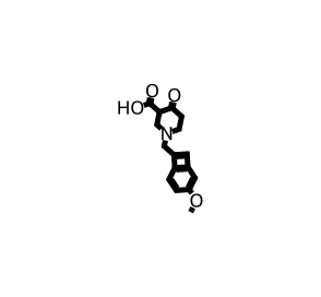 COc1ccc2c(c1)C=C2CN1CCC(=O)C(C(=O)O)C1